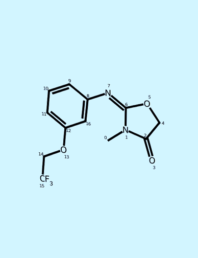 CN1C(=O)COC1=Nc1cccc(OCC(F)(F)F)c1